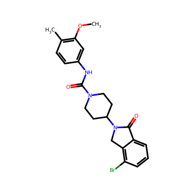 COc1cc(NC(=O)N2CCC(N3Cc4c(Br)cccc4C3=O)CC2)ccc1C